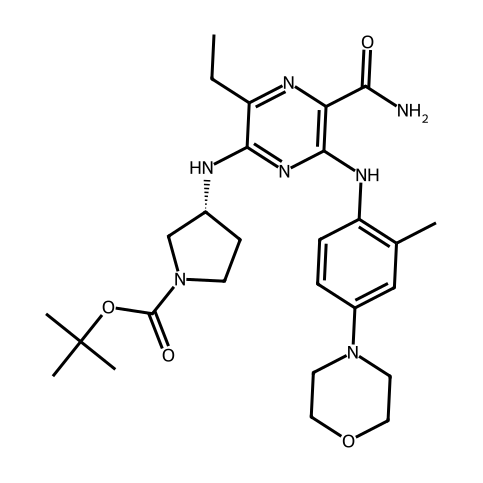 CCc1nc(C(N)=O)c(Nc2ccc(N3CCOCC3)cc2C)nc1N[C@@H]1CCN(C(=O)OC(C)(C)C)C1